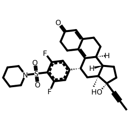 CC#C[C@]1(O)CC[C@H]2[C@@H]3CCC4=CC(=O)CCC4=C3[C@@H](c3cc(F)c(S(=O)(=O)N4CCCCC4)c(F)c3)C[C@@]21C